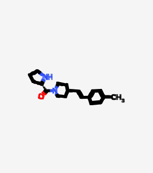 Cc1ccc(/C=C/C2CCN(C(=O)[C@@H]3CCCN3)CC2)cc1